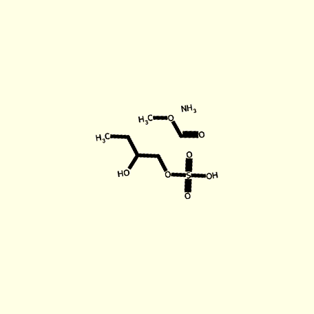 CCC(O)COS(=O)(=O)O.COC=O.N